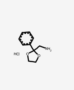 Cl.NCC1(c2ccccc2)OCCO1